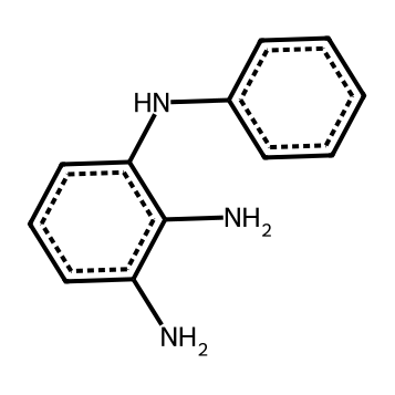 Nc1cccc(Nc2ccccc2)c1N